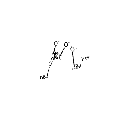 CCCC[O-].CCCC[O-].CCCC[O-].CCCC[O-].[Pt+4]